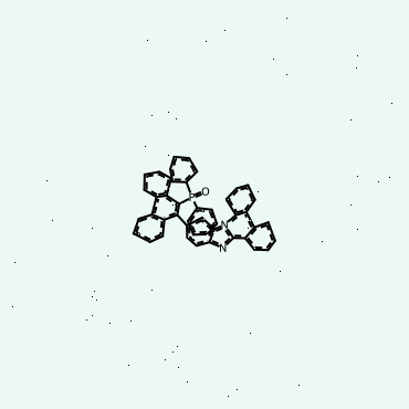 O=P(c1ccccc1)(c1ccccc1)c1c(-c2ccc3nc4c5ccccc5c5ccccc5n4c3c2)c2ccccc2c2ccccc12